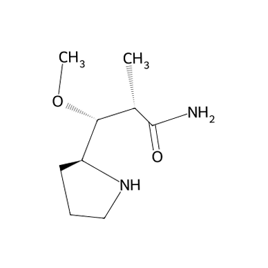 CO[C@@H]([C@@H]1CCCN1)[C@H](C)C(N)=O